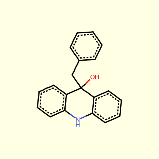 OC1(Cc2ccccc2)c2ccccc2Nc2ccccc21